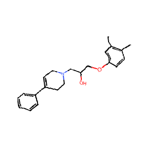 Cc1ccc(OCC(O)CN2CC=C(c3ccccc3)CC2)cc1C